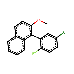 COc1ccc2ccccc2c1-c1cc(Cl)ccc1F